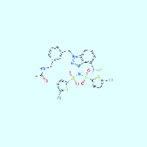 CC(=O)NCc1cccc(Cn2nc(N(S(=O)(=O)c3ccc(Cl)s3)S(=O)(=O)c3ccc(Cl)s3)c3c(C(F)F)cccc32)c1